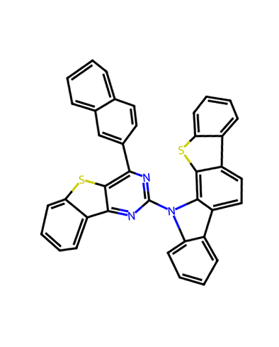 c1ccc2cc(-c3nc(-n4c5ccccc5c5ccc6c7ccccc7sc6c54)nc4c3sc3ccccc34)ccc2c1